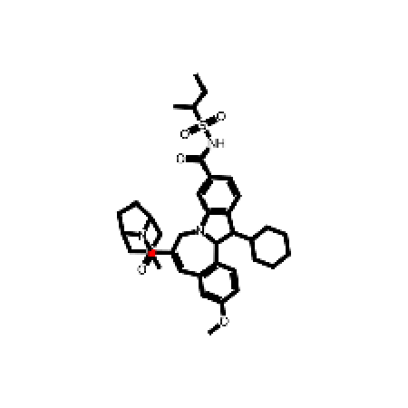 CCC(C)S(=O)(=O)NC(=O)c1ccc2c(c1)N1CC(C(=O)N3C4CCC3CN(C)C4)=Cc3cc(OC)ccc3C1C2C1CCCCC1